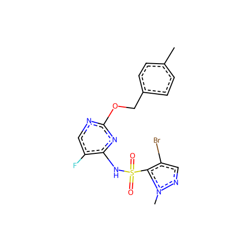 Cc1ccc(COc2ncc(F)c(NS(=O)(=O)c3c(Br)cnn3C)n2)cc1